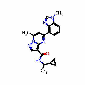 Cc1cc(-c2cccc3c2ncn3C)nc2c(C(=O)NC(C3CC3)C(F)(F)F)cnn12